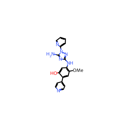 COc1cc(-c2ccncc2)c(O)cc1Nc1nc(N)n(-c2ccccn2)n1